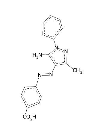 Cc1nn(-c2ccccc2)c(N)c1N=Nc1ccc(C(=O)O)cc1